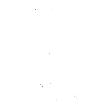 CC(C)(C)OC(=O)n1cc(COc2ccc3c(Cl)nccc3c2)cn1